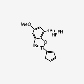 COc1cc(C(C)(C)C)c([O][Ti][C]2=CC=CC2)c(C(C)(C)C)c1.F.F